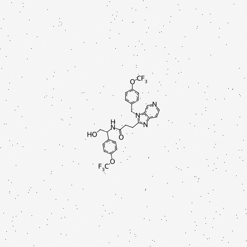 O=C(CCc1nc2ccncc2n1Cc1ccc(OC(F)(F)F)cc1)NC(CO)c1ccc(OC(F)(F)F)cc1